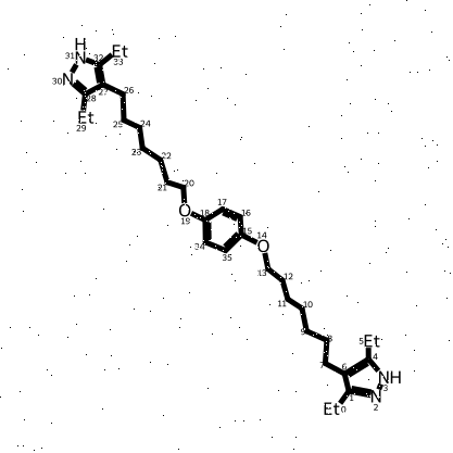 CCc1n[nH]c(CC)c1CCCCCCCOc1ccc(OCCCCCCCc2c(CC)n[nH]c2CC)cc1